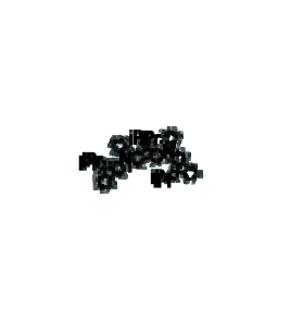 CC(C)CC1(CC(C)C)c2ccccc2-c2ccc(N(c3ccccc3)c3ccc4c(c3)C(CC(C)C)(CC(C)C)c3cc(N(c5ccccc5)c5ccc6c(c5)C(CC(C)C)(CC(C)C)c5ccccc5-6)ccc3-4)cc21